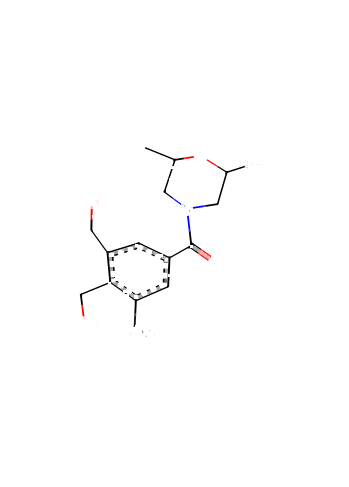 BC1CN(C(=O)c2cc(CO)c(CO)c(OC)c2)CC(C)O1